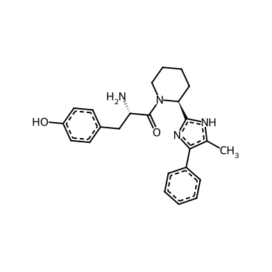 Cc1[nH]c([C@@H]2CCCCN2C(=O)[C@@H](N)Cc2ccc(O)cc2)nc1-c1ccccc1